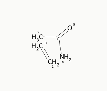 C=C.CC(N)=O